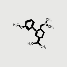 COc1cccc(C2=CC(=C(C)C)CCC2CN(C)C)c1